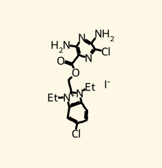 CCn1c(COC(=O)c2nc(Cl)c(N)nc2N)[n+](CC)c2cc(Cl)ccc21.[I-]